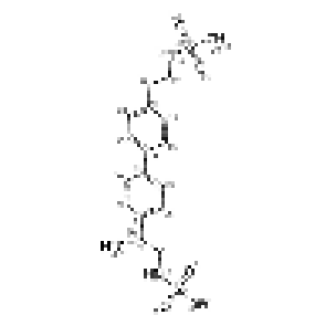 CC(C)S(=O)(=O)NC[C@H](C)c1ccc(-c2ccc(CCNS(C)(=O)=O)cc2)cc1